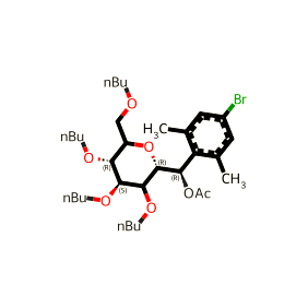 CCCCOCC1O[C@H]([C@H](OC(C)=O)c2c(C)cc(Br)cc2C)C(OCCCC)[C@@H](OCCCC)[C@@H]1OCCCC